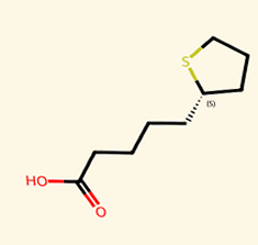 O=C(O)CCCC[C@H]1CCCS1